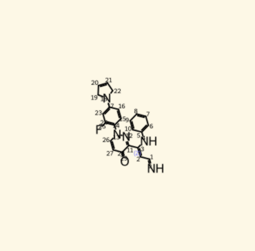 N=C/C=C(\Nc1ccccc1)c1nn(-c2ccc(N3CC=CC3)cc2F)ccc1=O